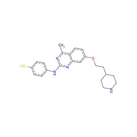 Cc1nc(Nc2ccc(S)cc2)nc2cc(OCCC3CCNCC3)ccc12